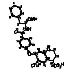 COC(Cc1ccccc1)NC(=O)c1ccc(Oc2cc3c(cc2Cl)C(C(=O)O)CCO3)cc1